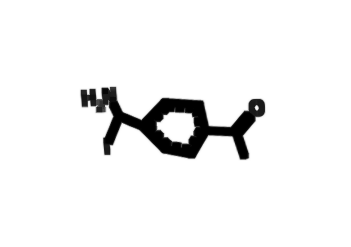 CC(=O)c1ccc(C(N)I)cc1